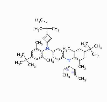 C/C=C/C(=C\C)N(C1=C(C)C=C(C(C)(C)C)CC1C)c1ccc(N(C2=CC(C(C)(C)CC)=C2)c2c(C)cc(C(C)(C)C)cc2C)cc1